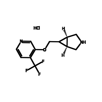 Cl.FC(F)(F)c1ccncc1OCC1[C@H]2CNC[C@@H]12